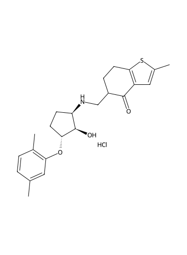 Cc1ccc(C)c(O[C@@H]2CC[C@@H](NCC3CCc4sc(C)cc4C3=O)[C@H]2O)c1.Cl